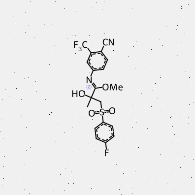 CO/C(=N\c1ccc(C#N)c(C(F)(F)F)c1)C(C)(O)CS(=O)(=O)c1ccc(F)cc1